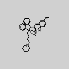 C=Cc1ccc2nc(OC)c(C(c3ccccc3)C(O)(CCCCN3CCCCC3)c3ccccc3)cc2c1